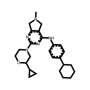 CN1Cc2nc(N3CCOC(C4CC4)C3)nc(Nc3ccc(C4CCCCC4)cc3)c2C1